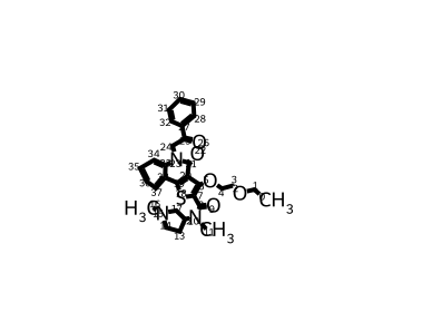 CCOCCOc1c(C(=O)N(C)C2CCN(C)C2)sc2c1c(=O)n(CC(=O)c1ccccc1)c1ccccc21